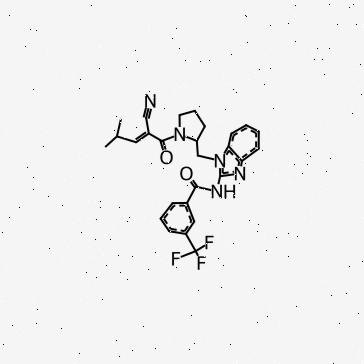 CC(C)C=C(C#N)C(=O)N1CCCC1Cn1c(NC(=O)c2cccc(C(F)(F)F)c2)nc2ccccc21